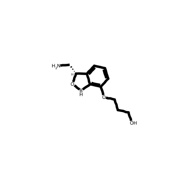 NC[C@H]1OBc2c(OCCCO)cccc21